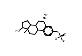 CC12CCC3c4ccc(OP(=O)([O-])[O-])cc4CCC3C1CCC2O.[Na+].[Na+]